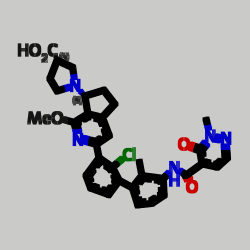 COc1nc(-c2cccc(-c3cccc(NC(=O)c4ccnn(C)c4=O)c3C)c2Cl)cc2c1[C@@H](N1CC[C@H](C(=O)O)C1)CC2